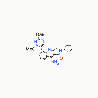 COc1ncc(-c2cccc3c(N)c4c(nc23)CN(C2CCCC2)C4=O)c(OC)n1